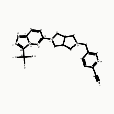 N#Cc1ccc(CN2CC3CN(c4ccc5nnc(C(F)(F)F)n5n4)CC3C2)cn1